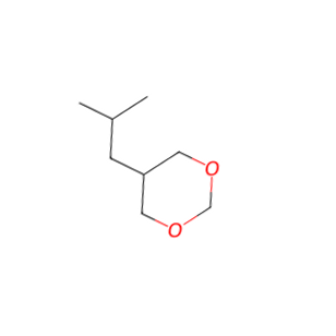 CC(C)CC1COCOC1